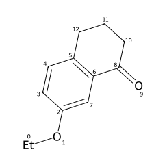 CCOc1ccc2c(c1)C(=O)CCC2